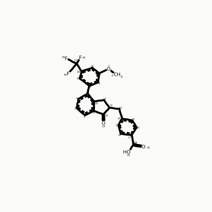 COc1cc(-c2cccc3c2CC(Cc2ccc(C(=O)O)cc2)C3=O)cc(C(F)(F)F)c1